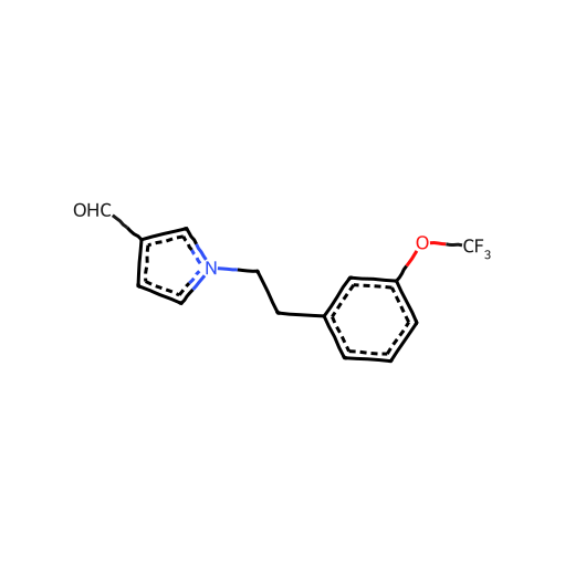 O=Cc1ccn(CCc2cccc(OC(F)(F)F)c2)c1